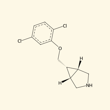 Clc1ccc(Cl)c(OC[C@@H]2[C@@H]3CNC[C@@H]32)c1